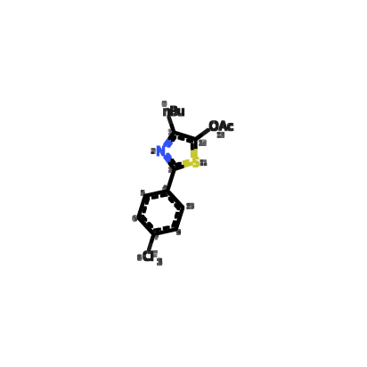 CCCCc1nc(-c2ccc(C(F)(F)F)cc2)sc1OC(C)=O